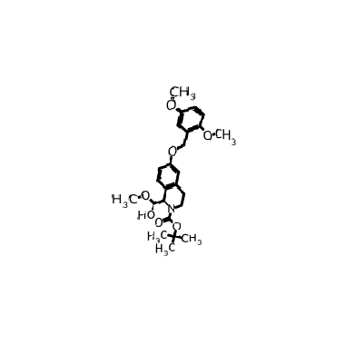 COc1ccc(OC)c(COc2ccc3c(c2)CCN(C(=O)OC(C)(C)C)[C@H]3[C@@H](O)OC)c1